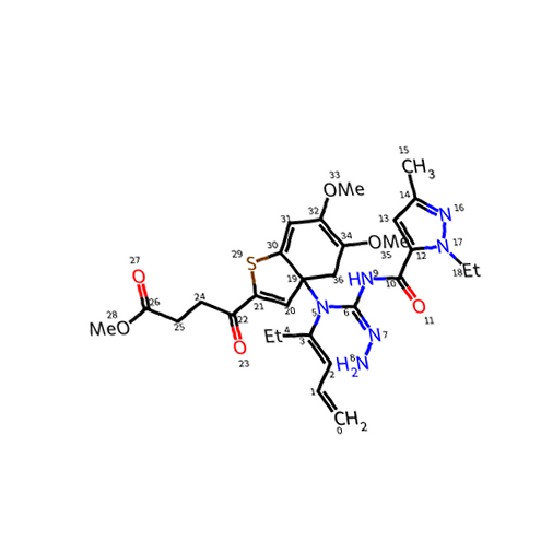 C=C/C=C(\CC)N(/C(=N\N)NC(=O)c1cc(C)nn1CC)C12C=C(C(=O)CCC(=O)OC)SC1=CC(OC)=C(OC)C2